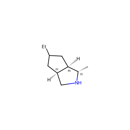 CCC1C[C@@H]2CN[C@@H](C)[C@@H]2C1